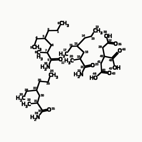 CCCC(CC)CC(C)C(N)=O.CCCC(CC)CC(C)C(N)=O.CCCC(CC)CC(C)C(N)=O.O=C(O)CC(CC(=O)O)C(=O)O